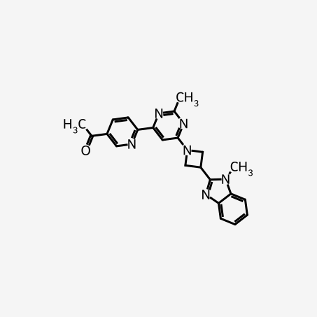 CC(=O)c1ccc(-c2cc(N3CC(c4nc5ccccc5n4C)C3)nc(C)n2)nc1